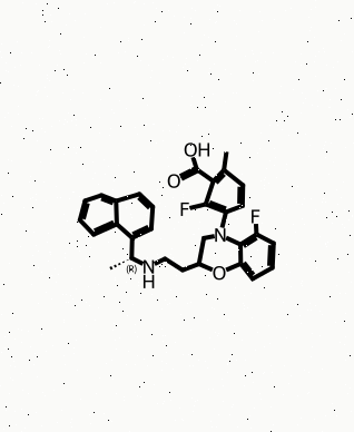 Cc1ccc(N2CC(CCN[C@H](C)c3cccc4ccccc34)Oc3cccc(F)c32)c(F)c1C(=O)O